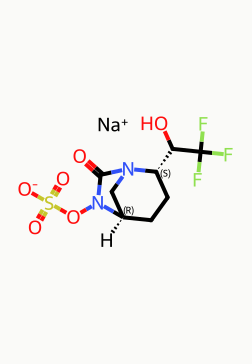 O=C1N2C[C@@H](CC[C@H]2C(O)C(F)(F)F)N1OS(=O)(=O)[O-].[Na+]